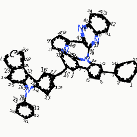 c1ccc(-c2ccc3c4cc(-c5ccc6c(c5)c5c7ccccc7ccc5n6-c5ccccc5)ccc4n(-c4nc5ccccc5nc4-c4ccccn4)c3c2)cc1